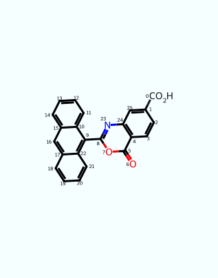 O=C(O)c1ccc2c(=O)oc(-c3c4ccccc4cc4ccccc34)nc2c1